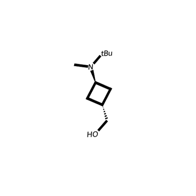 CN([C@H]1C[C@H](CO)C1)C(C)(C)C